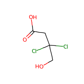 O=C(O)CC(Cl)(Cl)CO